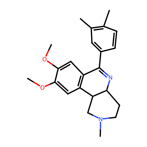 COc1cc2c(cc1OC)C1CN(C)CCC1N=C2c1ccc(C)c(C)c1